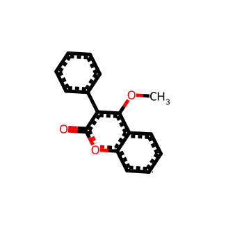 COc1c(-c2ccccc2)c(=O)oc2c[c]ccc12